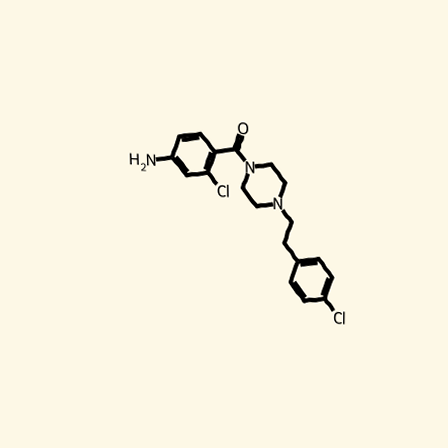 Nc1ccc(C(=O)N2CCN(CCc3ccc(Cl)cc3)CC2)c(Cl)c1